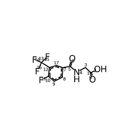 O=C(O)CNC(=O)c1ccc(F)c(C(F)(F)F)c1